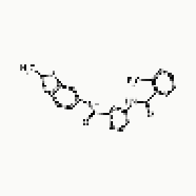 Cc1nc2ccc(NC(=O)c3cccc(NC(=O)c4ccccc4C(F)(F)F)c3)cc2s1